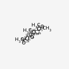 COc1cc2c(cc1C)-c1cc(C)c(OC(=O)c3ccc(C(C)=O)cc3)cc1CC2